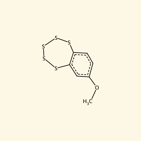 COc1ccc2c(c1)SSSSS2